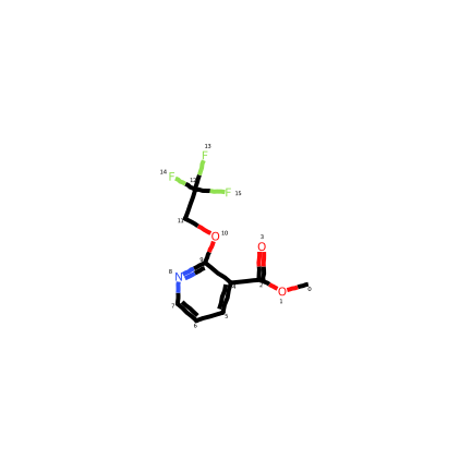 COC(=O)c1cccnc1OCC(F)(F)F